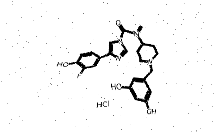 CN(C(=O)n1cnc(-c2ccc(O)c(F)c2)c1)C1CCN(Cc2cc(O)cc(O)c2)CC1.Cl